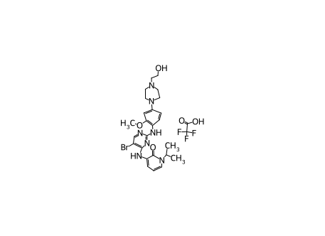 COc1cc(N2CCN(CCO)CC2)ccc1Nc1ncc(Br)c(Nc2cccn(C(C)C)c2=O)n1.O=C(O)C(F)(F)F